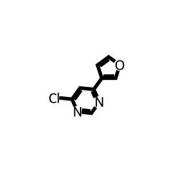 Clc1cc(-c2ccoc2)ncn1